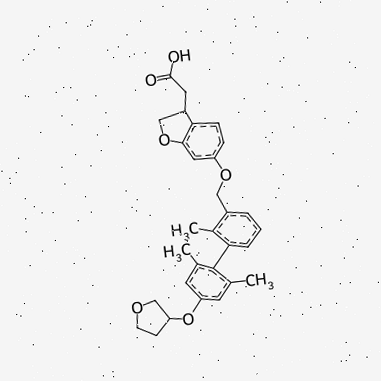 Cc1cc(OC2CCOC2)cc(C)c1-c1cccc(COc2ccc3c(c2)OCC3CC(=O)O)c1C